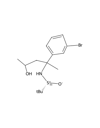 CC(O)CC(C)(N[S@+]([O-])C(C)(C)C)c1cccc(Br)c1